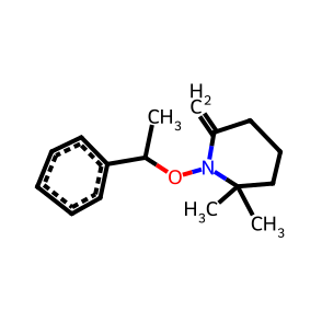 C=C1CCCC(C)(C)N1OC(C)c1ccccc1